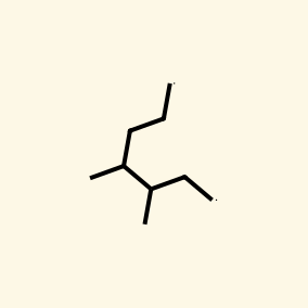 [CH2]CCC(C)C(C)C[CH2]